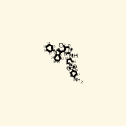 Nc1ccc(S(=O)(=O)N2CCC(Nc3ncc(Cl)c(-c4cn(-c5ccccc5)c5ccccc45)n3)C2)cc1